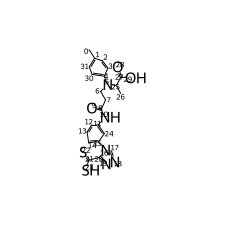 Cc1ccc(N(CCC(=O)Nc2cccc(-n3cnnc3C(=S)S)c2)C(C)C(=O)O)cc1